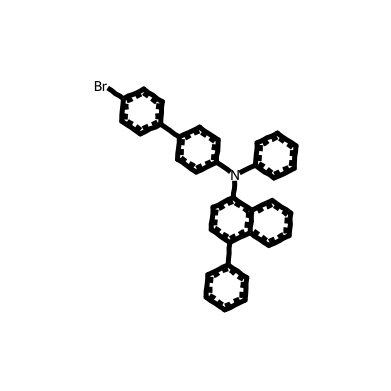 Brc1ccc(-c2ccc(N(c3ccccc3)c3ccc(-c4ccccc4)c4ccccc34)cc2)cc1